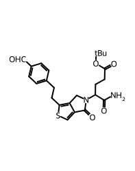 CC(C)(C)OC(=O)CCC(C(N)=O)N1Cc2c(csc2CCc2ccc(C=O)cc2)C1=O